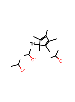 CC(C)[O-].CC(C)[O-].CC(C)[O-].CC1=C(C)[C](C)([Ti+3])C(C)=C1C